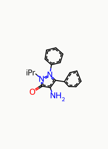 CC(C)n1c(=O)c(N)c(-c2ccccc2)n1-c1ccccc1